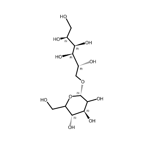 OCC1O[C@H](OC[C@@H](O)[C@@H](O)[C@H](O)[C@@H](O)CO)C(O)[C@@H](O)[C@@H]1O